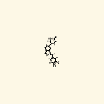 C=C1C=CC(c2ccc3cnn(Cc4ccc(Cl)c(Cl)c4)c3c2)=CN1